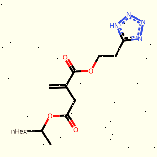 C=C(CC(=O)OC(C)CCCCCC)C(=O)OCCc1nnn[nH]1